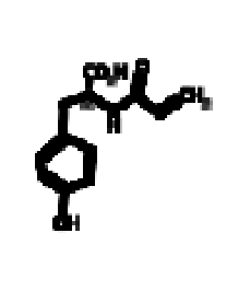 C=CC(=O)N[C@H](Cc1ccc(O)cc1)C(=O)O